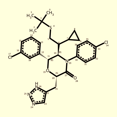 CC(C)(C)SCC(C1CC1)[C@@H]1[C@@H](c2cccc(Cl)c2)O[C@@H](Cc2cnn[nH]2)C(=O)N1c1ccc(Cl)cc1